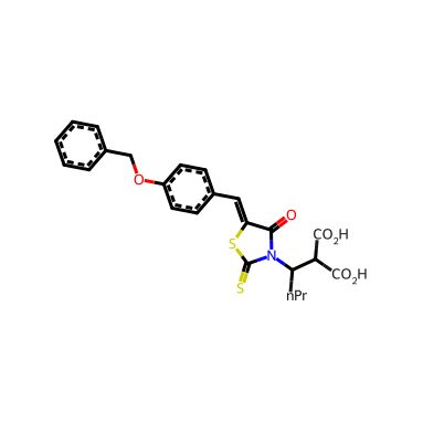 CCCC(C(C(=O)O)C(=O)O)N1C(=O)C(=Cc2ccc(OCc3ccccc3)cc2)SC1=S